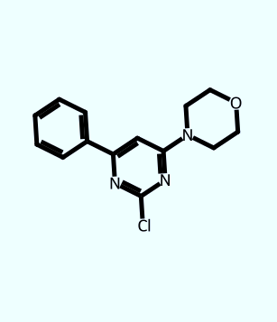 Clc1nc(-c2ccccc2)cc(N2CCOCC2)n1